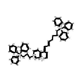 C\C=C/C(=C\C=C\CCCC[PH](c1ccccc1)(c1ccccc1)c1ccccc1)c1cc[n+](CCC[PH](c2ccccc2)(c2ccccc2)c2ccccc2)cc1